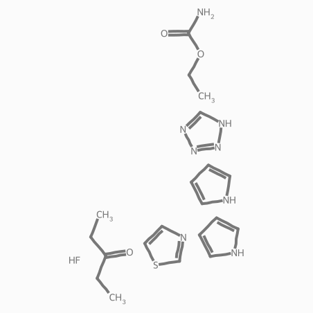 CCC(=O)CC.CCOC(N)=O.F.c1cc[nH]c1.c1cc[nH]c1.c1cscn1.c1nnn[nH]1